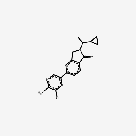 CC(C1CC1)N1Cc2cc(-c3cnc(N)c(Cl)n3)ccc2C1=O